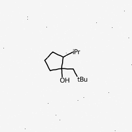 CC(C)C1CCCC1(O)CC(C)(C)C